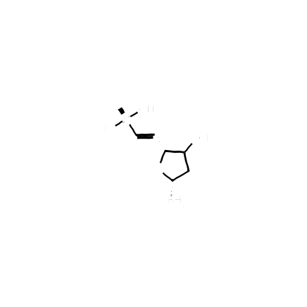 B[C@H]1CC(O)[C@@H](/C=C/P(=O)(O)O)O1